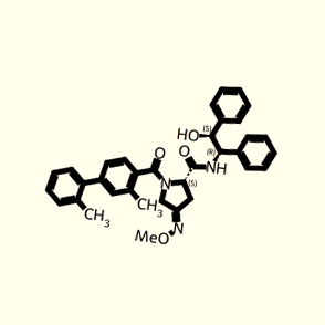 CON=C1C[C@@H](C(=O)N[C@H](c2ccccc2)[C@@H](O)c2ccccc2)N(C(=O)c2ccc(-c3ccccc3C)cc2C)C1